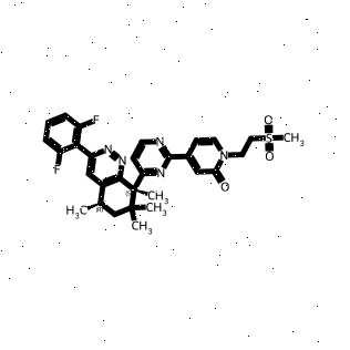 C[C@@H]1CC(C)(C)[C@@](C)(c2ccnc(-c3ccn(CCS(C)(=O)=O)c(=O)c3)n2)c2nnc(-c3c(F)cccc3F)cc21